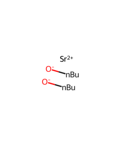 CCCC[O-].CCCC[O-].[Sr+2]